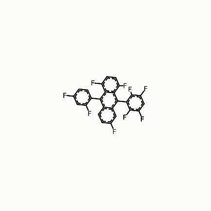 Fc1ccc(-c2c3ccc(F)cc3c(-c3c(F)c(F)cc(F)c3F)c3c(F)ccc(F)c23)c(F)c1